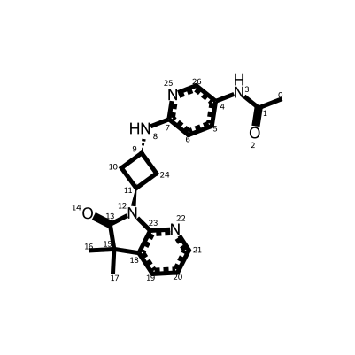 CC(=O)Nc1ccc(N[C@H]2C[C@H](N3C(=O)C(C)(C)c4cccnc43)C2)nc1